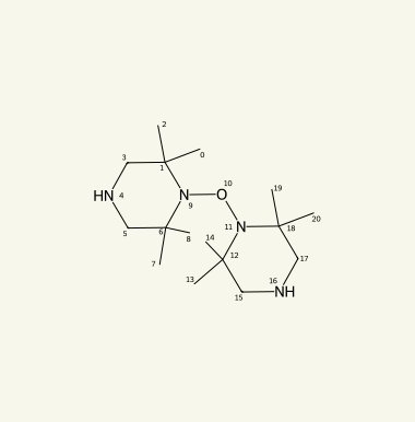 CC1(C)CNCC(C)(C)N1ON1C(C)(C)CNCC1(C)C